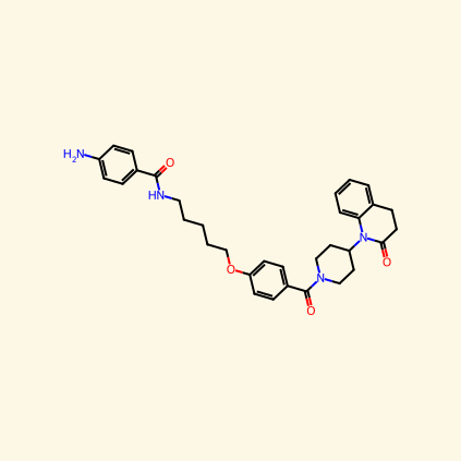 Nc1ccc(C(=O)NCCCCCOc2ccc(C(=O)N3CCC(N4C(=O)CCc5ccccc54)CC3)cc2)cc1